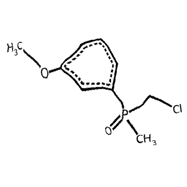 COc1cccc(P(C)(=O)CCl)c1